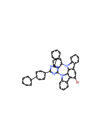 Brc1cc2c3ccccc3n(-c3ccccc3)c2c2c1c1ccccc1n2-c1nc(-c2ccccc2)nc(-c2ccc(-c3ccccc3)cc2)n1